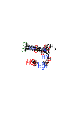 CN(c1ccc(CNC(=O)COC(CN)CN)cc1C(=O)Nc1ccc(S(=O)(=O)N2CCN(c3cc(Cl)cc(Cl)c3)CC2)cc1)S(C)(=O)=O.O=CO.O=CO